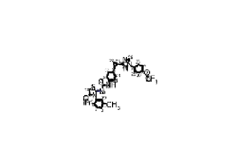 Cc1ccc(C(C)C)c(N2C(=O)CS/C2=N\C(=O)Nc2ccc(C3CC3c3ncn(-c4ccc(OC(F)(F)F)cc4)n3)cc2)c1